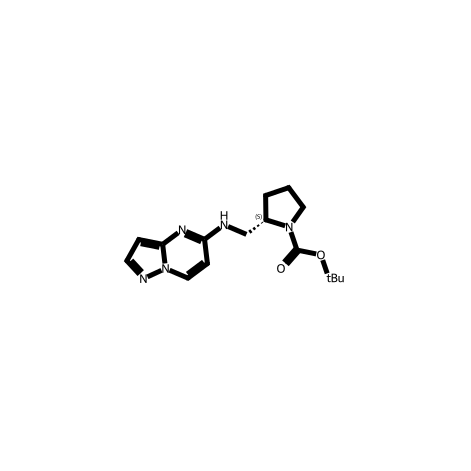 CC(C)(C)OC(=O)N1CCC[C@H]1CNc1ccn2nccc2n1